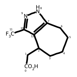 O=C(O)CC1CCCCc2[nH]nc(C(F)(F)F)c21